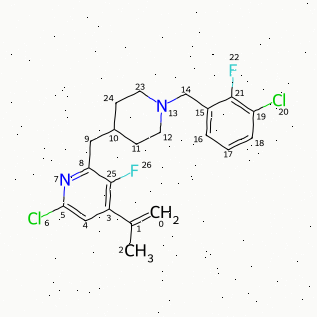 C=C(C)c1cc(Cl)nc(CC2CCN(Cc3cccc(Cl)c3F)CC2)c1F